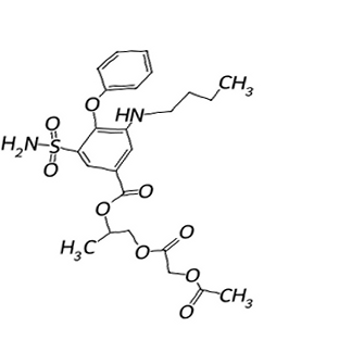 CCCCNc1cc(C(=O)OC(C)COC(=O)COC(C)=O)cc(S(N)(=O)=O)c1Oc1ccccc1